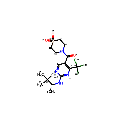 C[C@@H](Nc1ncc(C(=O)N2CCS(=O)(=O)CC2)c(C(F)(F)F)n1)C(C)(C)C